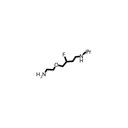 CC(C)NCCC(F)COCCN